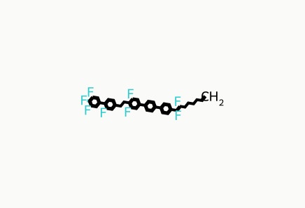 C=CCCCC/C(F)=C(\F)c1ccc(-c2ccc(-c3cc(F)c(CCc4ccc(-c5cc(F)c(F)c(F)c5)c(F)c4)c(F)c3)cc2)cc1